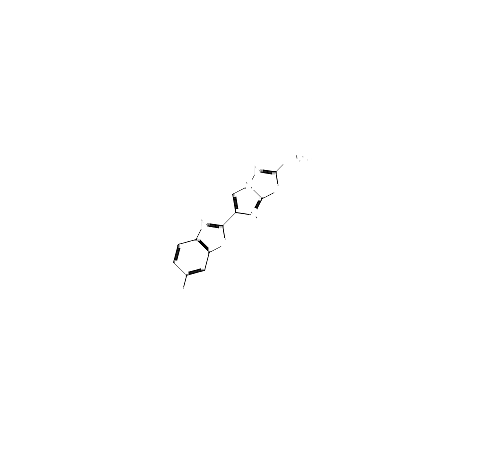 COc1nn2cc(-c3nc4ccc(F)cc4s3)nc2s1